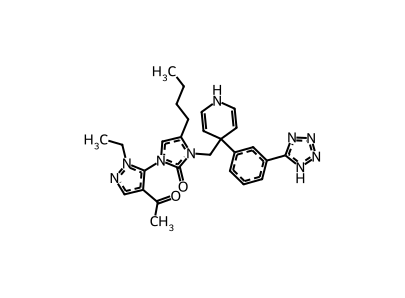 CCCCc1cn(-c2c(C(C)=O)cnn2CC)c(=O)n1CC1(c2cccc(-c3nnn[nH]3)c2)C=CNC=C1